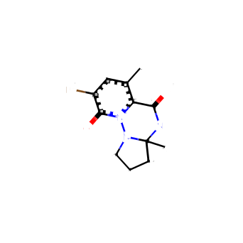 Cc1cc(Br)c(=O)n2c1C(=O)NC1(C)CCCN21